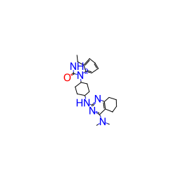 CCc1ccccc1N(C(N)=O)C1CCC(Nc2nc3c(c(N(C)C)n2)CCCC3)CC1